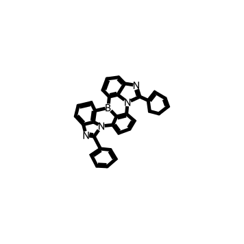 C1=CCCC(c2nc3cccc4c3n2-c2cccc3c2B4c2cccc4nc(-c5ccccc5)n-3c24)=C1